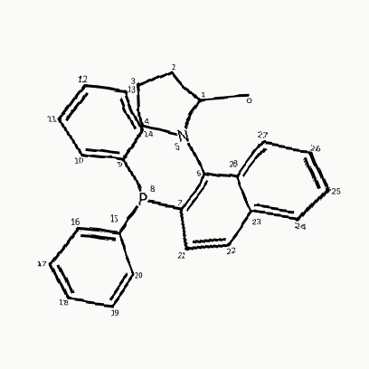 CC1CCCN1c1c(P(c2ccccc2)c2ccccc2)ccc2ccccc12